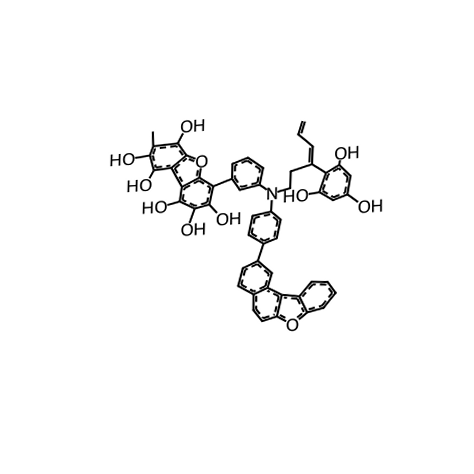 C=C/C=C(\CCN(c1ccc(-c2ccc3ccc4oc5ccccc5c4c3c2)cc1)c1cccc(-c2c(O)c(O)c(O)c3c2oc2c(O)c(C)c(O)c(O)c23)c1)c1c(O)cc(O)cc1O